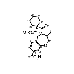 COCC1(C(=O)N2Cc3ccc(C(=O)O)cc3OC[C@@H]2C)CCCCC1